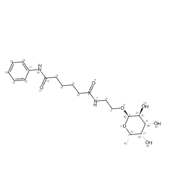 C[C@@H]1O[C@@H](OCCNC(=O)CCCCC(=O)Nc2ccccc2)[C@@H](O)[C@H](O)[C@@H]1O